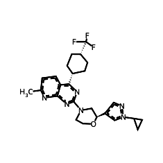 Cc1ccc2c(n1)nc(N1CCO[C@H](c3cnn(C4CC4)c3)C1)nc2[C@H]1CC[C@@H](C(F)(F)F)CC1